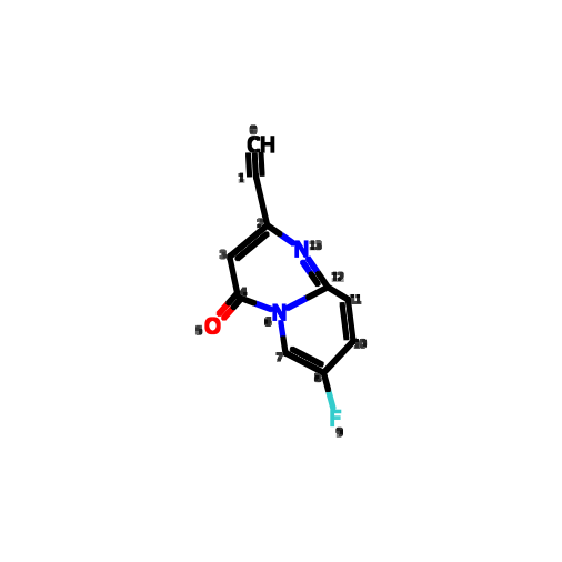 C#Cc1cc(=O)n2cc(F)ccc2n1